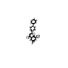 O=c1cc(N2CCC(c3ccccc3)CC2)oc2c(Cl)cc(F)cc12